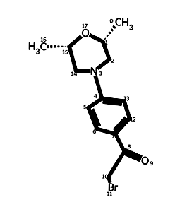 C[C@@H]1CN(c2ccc(C(=O)CBr)cc2)C[C@H](C)O1